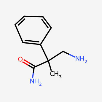 CC(CN)(C(N)=O)c1ccccc1